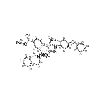 CCCCc1c(-c2ccc(C(=O)OC(C)(C)C)cc2C(=O)N2CCc3ccccc3C2)c(C(=O)O)nn1-c1ccc(Oc2ccccc2)cc1